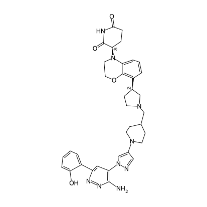 Nc1nnc(-c2ccccc2O)cc1-n1cc(N2CCC(CN3CC[C@@H](c4cccc5c4OCCN5[C@@H]4CCC(=O)NC4=O)C3)CC2)cn1